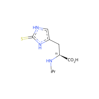 CC(C)N[C@@H](Cc1c[nH]c(=S)[nH]1)C(=O)O